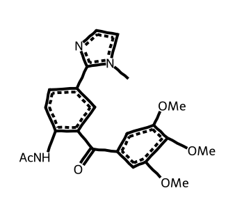 COc1cc(C(=O)c2cc(-c3nccn3C)ccc2NC(C)=O)cc(OC)c1OC